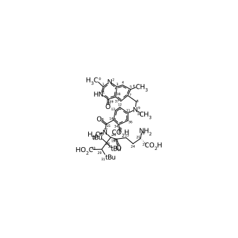 Cc1nc2cc(C)c(CN(C)c3ccc(C(=O)N(C)[C@@](C(=O)O)(C(=O)CC[C@H](N)C(=O)O)C(C(C(=O)O)C(C)(C)C)(C(C)(C)C)C(C)(C)C)c(F)c3)cc2c(=O)[nH]1